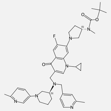 Cc1ccc(N2CCC[C@H](N(Cc3ccnc(C)c3)Cc3cn(C4CC4)c4cc(N5CC[C@H](N(C)C(=O)OC(C)(C)C)C5)c(F)cc4c3=O)C2)cn1